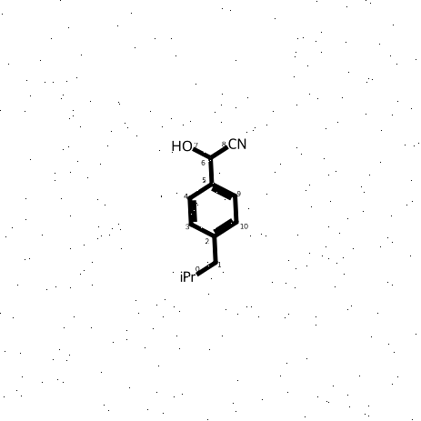 CC(C)Cc1ccc(C(O)C#N)cc1